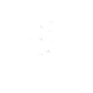 CC1CCC2(C(=O)N([C@@H](CO)C(=O)NCc3ccc(F)cc3)C2C)N1C(=O)O